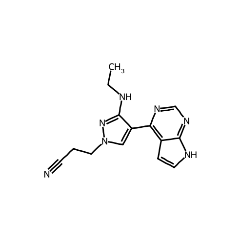 CCNc1nn(CCC#N)cc1-c1ncnc2[nH]ccc12